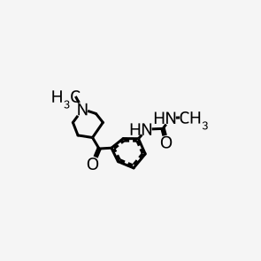 CNC(=O)Nc1cccc(C(=O)C2CCN(C)CC2)c1